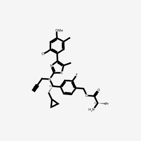 C#CCN(c1nc(-c2cc(C)c(OC)cc2Cl)c(C)s1)[C@@H](CC1CC1)c1ccc(COC(=O)[C@@H](N)C(C)C)c(F)c1